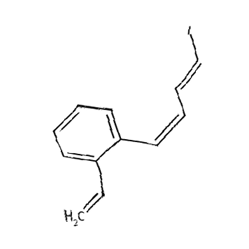 C=Cc1ccccc1/C=C\C=C\I